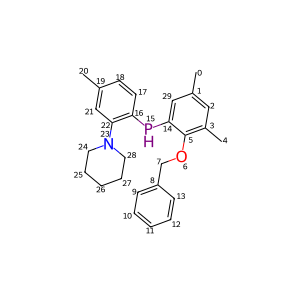 Cc1cc(C)c(OCc2ccccc2)c(Pc2ccc(C)cc2N2CCCCC2)c1